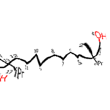 CC(C)C(C)(CO)CCCCCCCCC(C)(CO)C(C)C